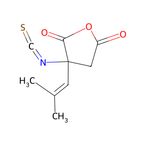 CC(C)=CC1(N=C=S)CC(=O)OC1=O